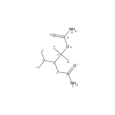 CC(C)C(CC(N)=O)C(C)(C)OC(N)=O